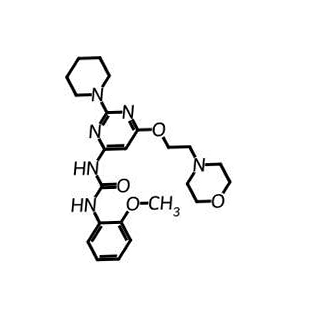 COc1ccccc1NC(=O)Nc1cc(OCCN2CCOCC2)nc(N2CCCCC2)n1